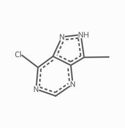 Cc1[nH]nc2c(Cl)ncnc12